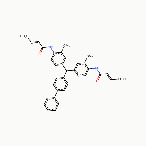 COc1cc(C(c2ccc(-c3ccccc3)cc2)c2ccc(NC(=O)/C=C/C(=O)O)c(OC)c2)ccc1NC(=O)/C=C/C(=O)O